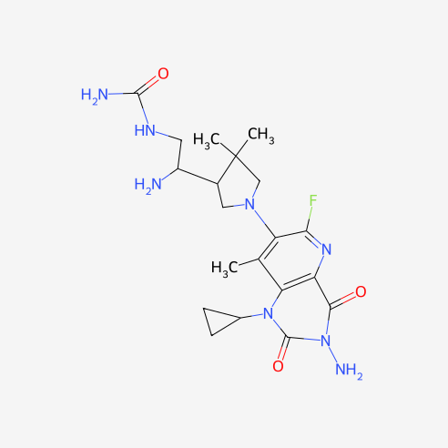 Cc1c(N2CC(C(N)CNC(N)=O)C(C)(C)C2)c(F)nc2c(=O)n(N)c(=O)n(C3CC3)c12